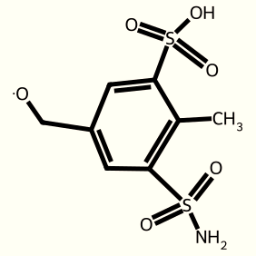 Cc1c(S(N)(=O)=O)cc(C[O])cc1S(=O)(=O)O